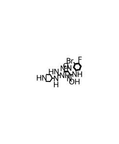 N=C(Nc1nonc1/C(=N/O)Nc1ccc(F)c(Br)c1)NC1CCNCC1